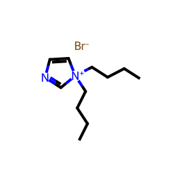 CCCC[N+]1(CCCC)C=CN=C1.[Br-]